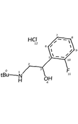 CC(C)(C)NCC(O)c1ccccc1F.Cl